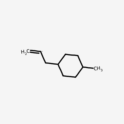 C=[C]CC1CCC(C)CC1